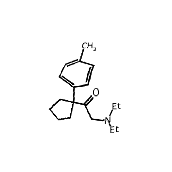 CCN(CC)CC(=O)C1(c2ccc(C)cc2)CCCC1